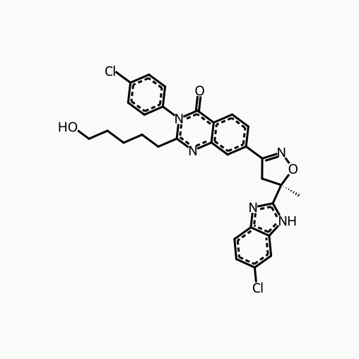 C[C@]1(c2nc3ccc(Cl)cc3[nH]2)CC(c2ccc3c(=O)n(-c4ccc(Cl)cc4)c(CCCCCO)nc3c2)=NO1